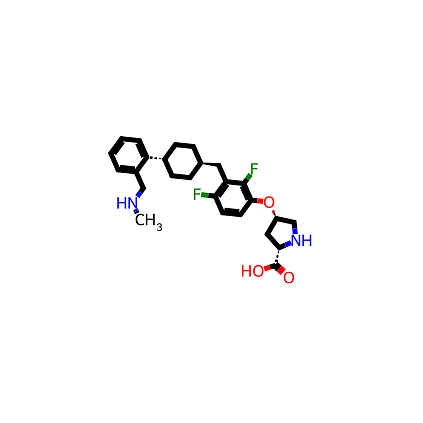 CNCc1ccccc1[C@H]1CC[C@H](Cc2c(F)ccc(O[C@@H]3CN[C@H](C(=O)O)C3)c2F)CC1